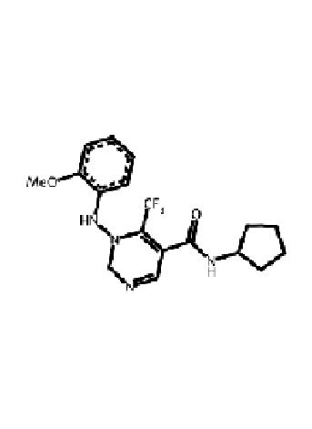 COc1ccccc1NN1CN=CC(C(=O)NC2CCCC2)=C1C(F)(F)F